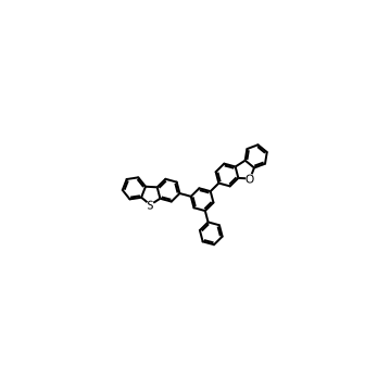 c1ccc(-c2cc(-c3ccc4c(c3)oc3ccccc34)cc(-c3ccc4c(c3)sc3ccccc34)c2)cc1